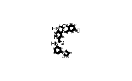 O=C(Nc1cccc(N2CCCC2)c1)c1cc2c(nn1)NCCN2Cc1cc(Cl)ccc1Cl